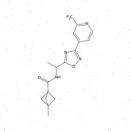 CC(NC(=O)C12CC(C)(C1)C2)c1nc(-c2ccnc(C(F)(F)F)c2)no1